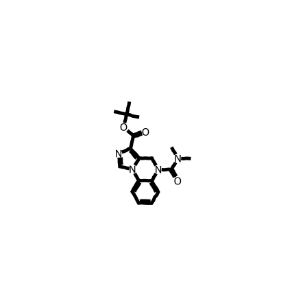 CN(C)C(=O)N1Cc2c(C(=O)OC(C)(C)C)ncn2-c2ccccc21